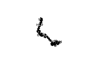 O=C(/C=C/c1cccnc1)NCCCCC1CCN(C(=O)c2ccc(N3CCN(CCCCCCSc4cccc5c4C(=O)N(C4CCC(=O)NC4=O)C5=O)CC3)nc2)CC1